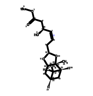 CC(C)(C)OC(=O)C[C@H](O)/C=C\CB1OC2C[C@@H]3C[C@@H](C3(C)C)[C@]2(C)O1